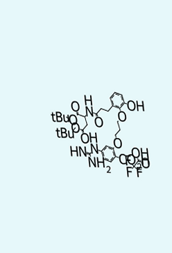 CC(C)(C)OC(=O)CC(NC(=O)CCc1cccc(O)c1OCCCOc1cc(NC(=N)N)ccc1C(=O)O)C(=O)OC(C)(C)C.O=C(O)C(F)(F)F